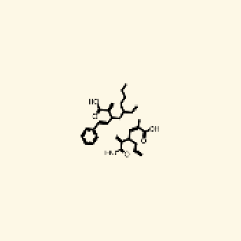 C=C(C(=O)O)C(C=Cc1ccccc1)CC(CC)CCCC.C=CCC(C=C(C)C(=O)O)C(=C)C(=O)O